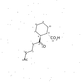 CC(=O)SCCC(=O)[C@H]1CCCC[C@@H]1C(=O)O